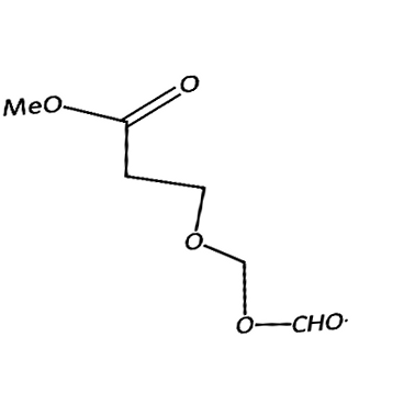 COC(=O)CCOCO[C]=O